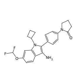 Nc1c(-c2ccc(N3CCCC3=O)cc2)n(C2CCC2)c2cc(OC(F)F)ccc12